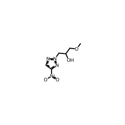 COCC(O)Cn1ncc([N+](=O)[O-])n1